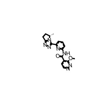 COc1nnccc1C(=O)Nc1cccc(-c2nnc3n2[C@@H](C)CC3)n1